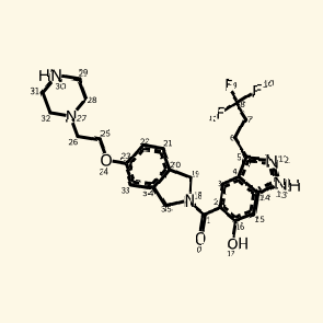 O=C(c1cc2c(CCC(F)(F)F)n[nH]c2cc1O)N1Cc2ccc(OCCN3CCNCC3)cc2C1